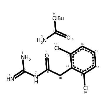 CC(C)COC(N)=O.N=C(N)NC(=O)Cc1c(Cl)cccc1Cl